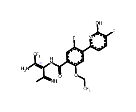 CC(=N)/C(NC(=O)c1cc(F)c(-c2ccc(F)c(O)n2)cc1OCC(F)(F)F)=C(\N)C(F)(F)F